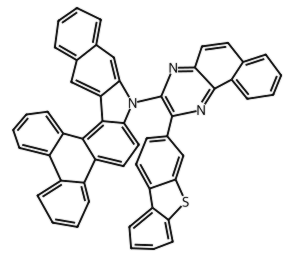 c1ccc2cc3c(cc2c1)c1c2c4ccccc4c4ccccc4c2ccc1n3-c1nc2ccc3ccccc3c2nc1-c1ccc2c(c1)sc1ccccc12